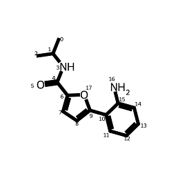 CC(C)NC(=O)c1ccc(-c2ccccc2N)o1